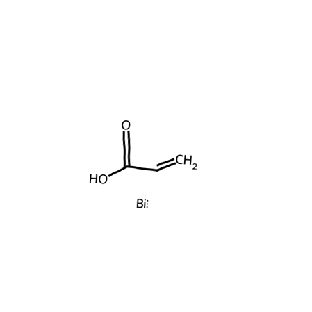 C=CC(=O)O.[Bi]